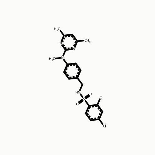 Cc1cc(C)nc(N(C)c2ccc(CNS(=O)(=O)c3ccc(Cl)cc3Cl)cc2)n1